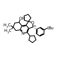 CC1(C)Cc2nc(C3CCCC3)c3c(c2C(O)C1)C1(CCCC1)O[C@@H]3c1cccc(C(C)(C)C)c1